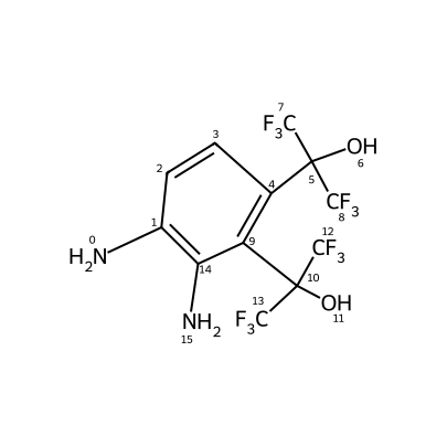 Nc1ccc(C(O)(C(F)(F)F)C(F)(F)F)c(C(O)(C(F)(F)F)C(F)(F)F)c1N